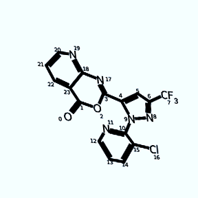 O=c1oc(-c2cc(C(F)(F)F)nn2-c2ncccc2Cl)nc2ncccc12